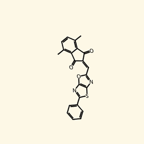 Cc1ccc(C)c2c1C(=O)C(=Cc1nc3sc(-c4ccccc4)nc3o1)C2=O